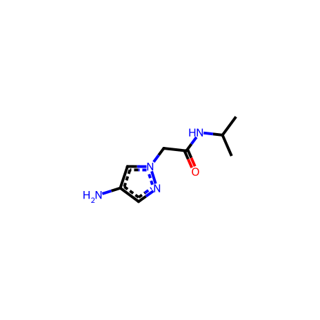 CC(C)NC(=O)Cn1cc(N)cn1